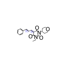 CCN1C(=O)/C(=C\C=C\c2ccccc2)C(=O)N(C2CCOCC2)C1=O